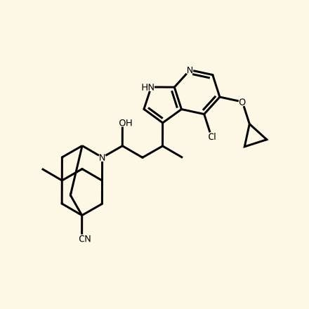 CC(CC(O)N1C2CC3(C)CC1CC(C#N)(C2)C3)c1c[nH]c2ncc(OC3CC3)c(Cl)c12